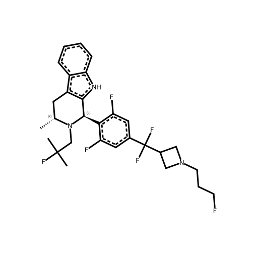 C[C@@H]1Cc2c([nH]c3ccccc23)[C@@H](c2c(F)cc(C(F)(F)C3CN(CCCF)C3)cc2F)N1CC(C)(C)F